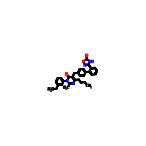 CCCCc1nc(C)n(-c2cccc(CC)c2)c(=O)c1Cc1ccc(-c2ccccc2-c2noc(=O)[nH]2)cc1